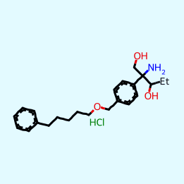 CCC(O)C(N)(CO)c1ccc(COCCCCCc2ccccc2)cc1.Cl